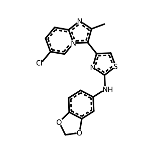 Cc1nc2ccc(Cl)cn2c1-c1csc(Nc2ccc3c(c2)OCO3)n1